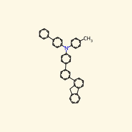 Cc1ccc(N(c2ccc(-c3ccccc3)cc2)c2ccc(-c3cccc(-c4cccc5c4Cc4ccccc4-5)c3)cc2)cc1